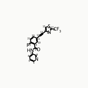 O=C(Nc1cccnc1)c1cc(C#Cc2csc(C(F)(F)F)n2)ccc1F